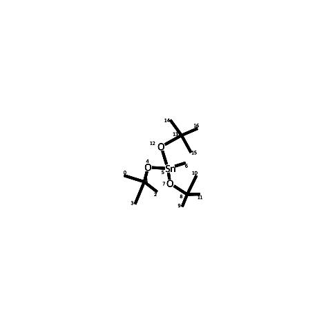 CC(C)(C)[O][Sn]([CH3])([O]C(C)(C)C)[O]C(C)(C)C